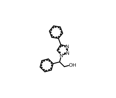 OCC(c1ccccc1)n1cc(-c2ccccc2)nn1